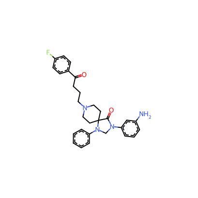 Nc1cccc(N2CN(c3ccccc3)C3(CCN(CCCC(=O)c4ccc(F)cc4)CC3)C2=O)c1